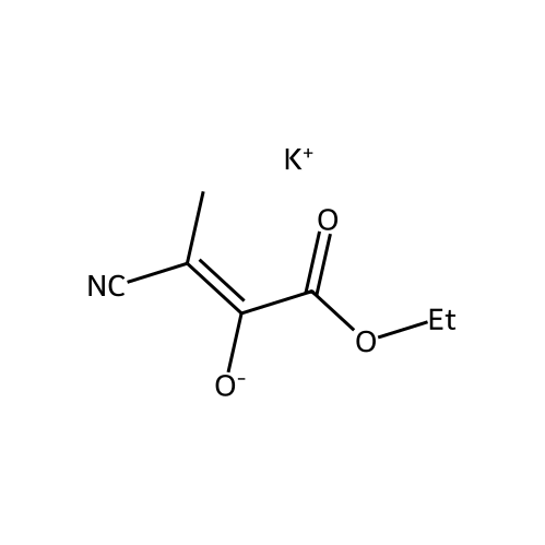 CCOC(=O)C([O-])=C(C)C#N.[K+]